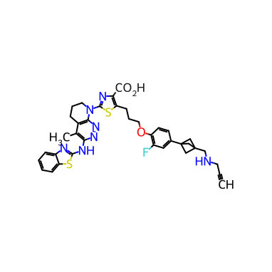 C#CCNCC12CC(c3ccc(OCCCc4sc(N5CCCc6c5nnc(Nc5nc7ccccc7s5)c6C)nc4C(=O)O)c(F)c3)(C1)C2